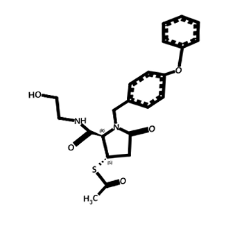 CC(=O)S[C@H]1CC(=O)N(Cc2ccc(Oc3ccccc3)cc2)[C@@H]1C(=O)NCCO